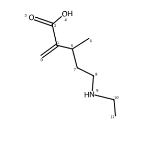 C=C(C(=O)O)C(C)CCNCC